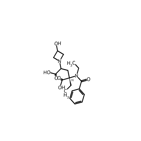 CCN(C(=O)c1ccccc1)[C@@](CC)(CC(C(=O)O)N1CC(O)C1)C(=O)O